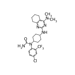 CN(C)c1nc(NC2CCC(N(C(N)=O)c3ccc(Cl)cc3C(F)(F)F)CC2)nc2c1CCCC2